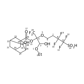 CCOC(O)C(OCCC(F)(F)C(F)(F)S(=O)(=O)O)(OC(=O)C12CC3CC(C1)C(O)C(C3)C2)C(F)(F)F